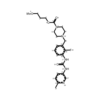 COCCCOC(=O)N1CCN(Cc2cccc(NC(=O)Nc3ccc(C)nc3)c2F)CC1